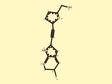 OCc1ccc(C#Cc2cc3c([nH]2)=NCC(F)C=3)s1